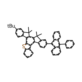 CC(C)(C)c1ccc2c(c1)C(C)(C)c1c3c(c4c(sc5ccccc54)c1-2)-c1ccc(-c2c4ccccc4c(-c4ccccc4)c4ccccc24)cc1C3(C)C